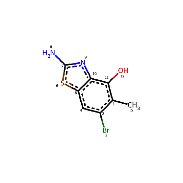 Cc1c(Br)cc2sc(N)nc2c1O